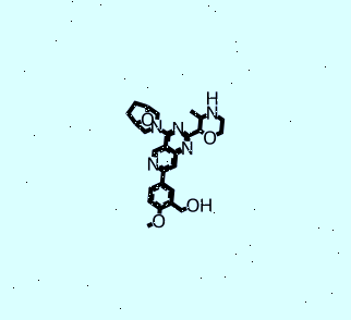 COc1ccc(-c2cc3nc(C4OCCNC4C)nc(N4CC5CCC(C4)O5)c3cn2)cc1CO